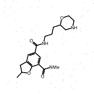 CNC(=O)c1cc(C(=O)NCCCC2CNCCO2)cc2c1OC(C)C2